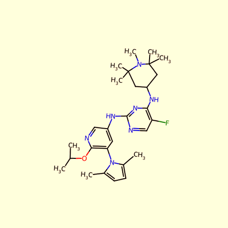 Cc1ccc(C)n1-c1cc(Nc2ncc(F)c(NC3CC(C)(C)N(C)C(C)(C)C3)n2)cnc1OC(C)C